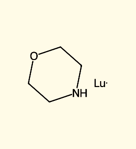 C1COCCN1.[Lu]